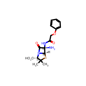 CC1(C)S[C@H]2N(C(=O)[C@]2(N)NC(=O)COc2ccccc2)[C@H]1C(=O)O